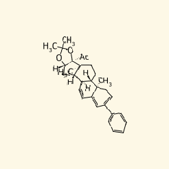 CC(=O)[C@@]12OC(C)(C)O[C@H]1C[C@H]1[C@@H]3C=CC4=CC(c5ccccc5)=CC[C@]4(C)[C@H]3CC[C@@]12C